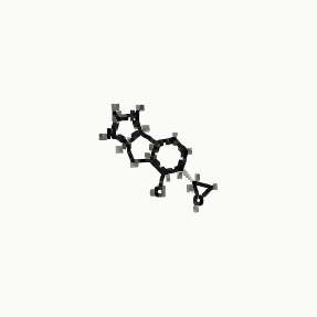 Clc1c([C@@H]2CO2)ccc2c1Cn1nnnc1-2